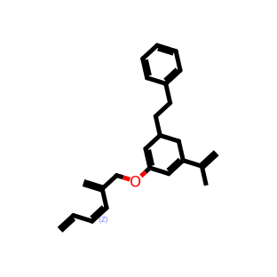 C=C/C=C\C(=C)COC1=CC(CCc2ccccc2)CC(C(=C)C)=C1